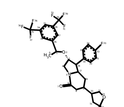 CC(O[C@H]1CN2C(=O)CC(C3COC(=O)C3)CC2C1c1ccc(F)cc1)c1cc(C(F)(F)F)cc(C(F)(F)F)c1